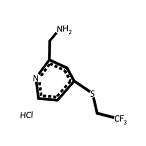 Cl.NCc1cc(SCC(F)(F)F)ccn1